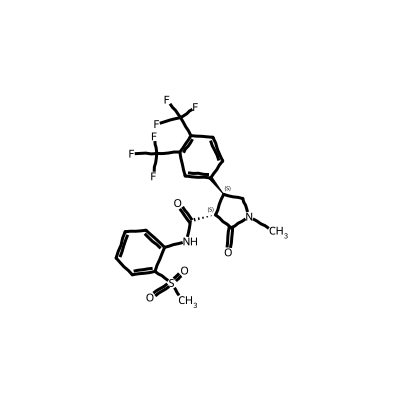 CN1C[C@H](c2ccc(C(F)(F)F)c(C(F)(F)F)c2)[C@@H](C(=O)Nc2ccccc2S(C)(=O)=O)C1=O